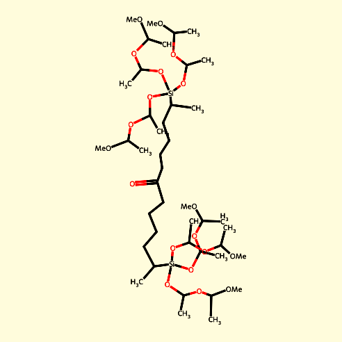 COC(C)OC(C)O[Si](OC(C)OC(C)OC)(OC(C)OC(C)OC)C(C)CCCCC(=O)CCCCC(C)[Si](OC(C)OC(C)OC)(OC(C)OC(C)OC)OC(C)OC(C)OC